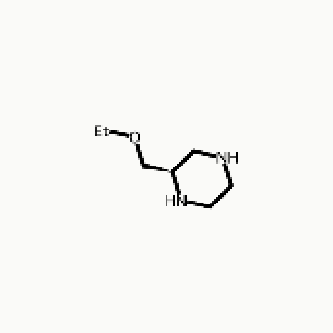 CCOC[C@H]1CNCCN1